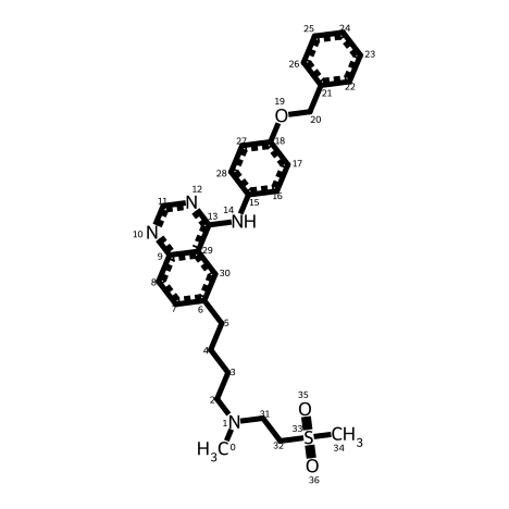 CN(CCCCc1ccc2ncnc(Nc3ccc(OCc4ccccc4)cc3)c2c1)CCS(C)(=O)=O